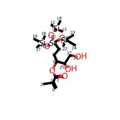 C=C(C)C(=O)OC(CC[Si](O[Si](C)(C)C)(O[Si](C)(C)C)O[Si](C)(C)C)C(O)CO